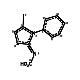 Cc1csc(=NC(=O)O)n1-c1ccccc1